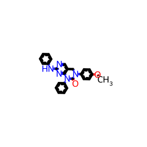 COc1ccc(N2Cc3cnc(Nc4ccccc4)nc3N(c3ccccc3)C2=O)cc1